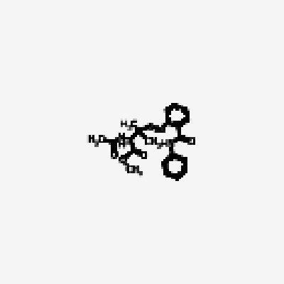 COC(=O)[C@H](NC(C)=O)C(C)(C)S[Se]c1ccccc1C(=O)Nc1ccccc1